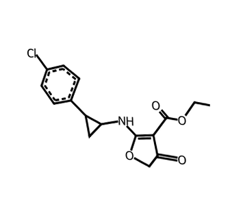 CCOC(=O)C1=C(NC2CC2c2ccc(Cl)cc2)OCC1=O